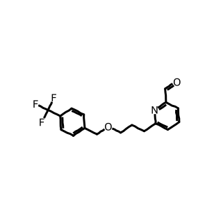 O=Cc1cccc(CCCOCc2ccc(C(F)(F)F)cc2)n1